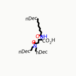 CCCCCCCCCCCCCCCCCC(=O)N[C@@H](CCC(=O)N(CCCCCCCCCCCC)CCCCCCCCCCCC)C(=O)O